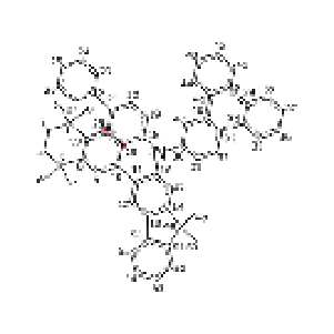 CC1(C)CCC(C)(C)c2cc(-c3cc4c(cc3N(c3ccc(-c5ccccc5)cc3)c3ccc5c6ccccc6c6ccccc6c5c3)C(C)(C)c3ccccc3-4)ccc21